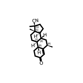 C[C@@H]1C[C@@H]2[C@H](CC[C@@]3(C)[C@H]2CC[C@]3(C)C#N)[C@H]2CCC(=O)C=C12